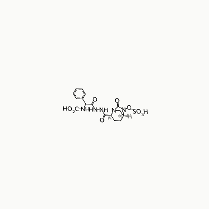 O=C(O)NC(C(=O)NNC(=O)[C@@H]1CC[C@@H]2CN1C(=O)N2OS(=O)(=O)O)c1ccccc1